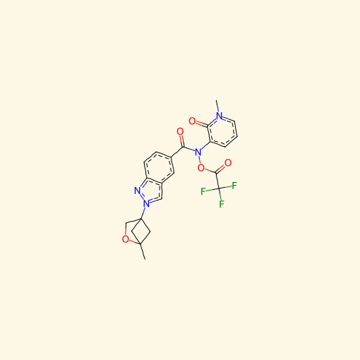 Cn1cccc(N(OC(=O)C(F)(F)F)C(=O)c2ccc3nn(C45COC(C)(C4)C5)cc3c2)c1=O